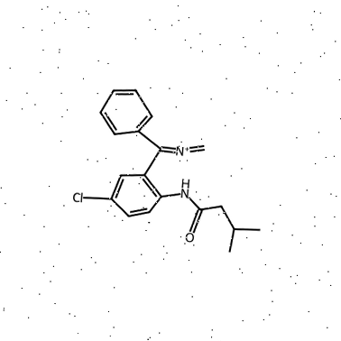 C=[N+]=C(c1ccccc1)c1cc(Cl)ccc1NC(=O)CC(C)C